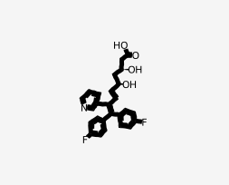 O=C(O)C[C@H](O)C[C@H](O)/C=C/C(=C(c1ccc(F)cc1)c1ccc(F)cc1)c1cccnc1